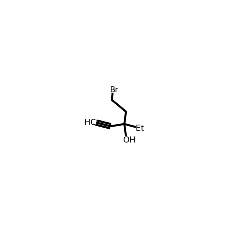 C#CC(O)(CC)CCBr